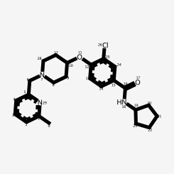 Cc1cccc(CN2CCC(Oc3ccc(C(=O)NC4CCCC4)cc3Cl)CC2)n1